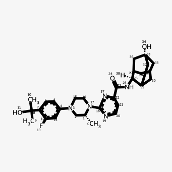 C[C@@H]1CN(c2ccc(C(C)(C)O)c(F)c2)CCN1c1nccc(C(=O)N[C@H]2C3CC4CC2C[C@](O)(C4)C3)n1